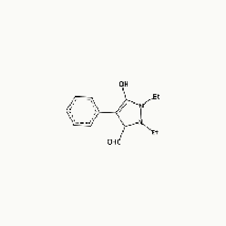 CCN1C(O)=C(c2ccccc2)C(C=O)N1CC